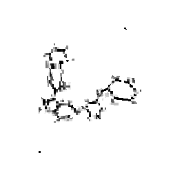 c1cnc2[nH]c(-c3n[nH]c4cnc(-c5cncc(OC6CCCCC6)c5)cc34)nc2c1